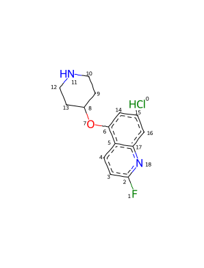 Cl.Fc1ccc2c(OC3CCNCC3)cccc2n1